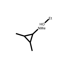 CCO.CNC1C(C)C1C